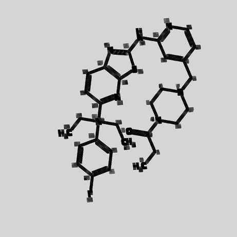 CCC(=O)N1CCN(Cc2ccnc(Nc3nc4ccc([N+](CC)(CC)c5ccc(F)cc5)nc4s3)c2)CC1